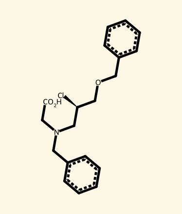 O=C(O)CN(Cc1ccccc1)C[C@@H](Cl)COCc1ccccc1